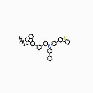 CC1(C)C2=C(C=CCC2)c2cc(-c3cccc(-c4cccc(N(c5ccc(C6=CCCC=C6)cc5)c5ccc(-c6ccc7sc8ccccc8c7c6)cc5)c4)c3)ccc21